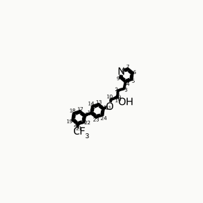 O[C@H](CCc1cccnc1)COc1ccc(-c2cccc(C(F)(F)F)c2)cc1